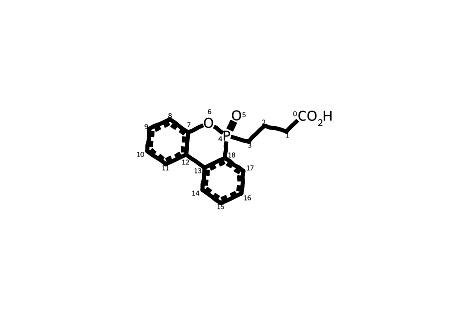 O=C(O)CCCP1(=O)Oc2ccccc2-c2ccccc21